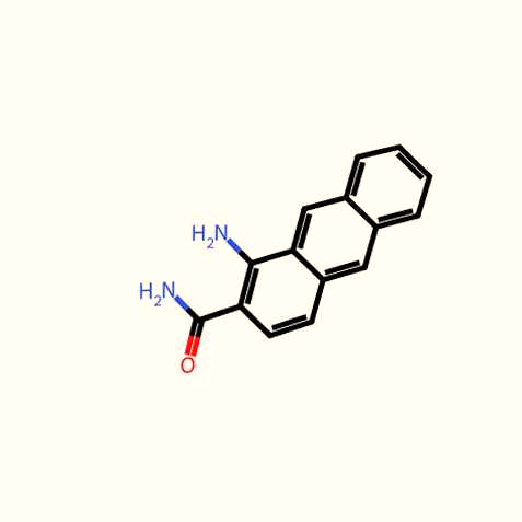 NC(=O)c1ccc2cc3ccccc3cc2c1N